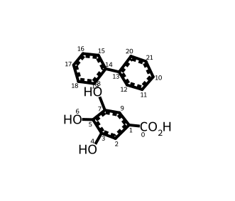 O=C(O)c1cc(O)c(O)c(O)c1.c1ccc(-c2ccccc2)cc1